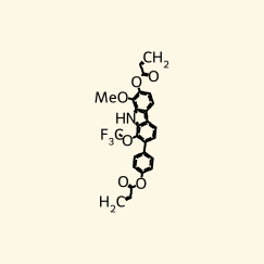 C=CC(=O)Oc1ccc(-c2ccc3c([nH]c4c(OC)c(OC(=O)C=C)ccc43)c2OC(F)(F)F)cc1